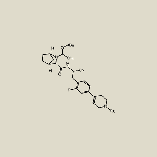 CCN1CC=C(c2ccc(C[C@@H](C#N)NC(=O)[C@@H]3[C@H]4CC[C@H](C4)N3C(O)OC(C)(C)C)c(F)c2)CC1